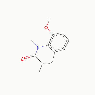 COc1cccc2c1N(C)C(=O)C(C)C2